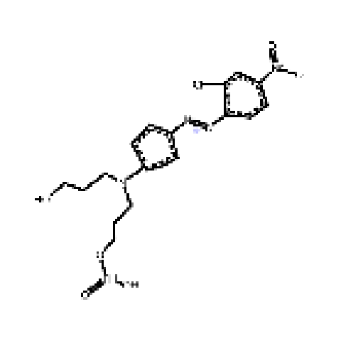 O=[N+]([O-])c1ccc(/N=N/c2ccc(N(CCCO)CCCO[PH](=O)O)cc2)c(Cl)c1